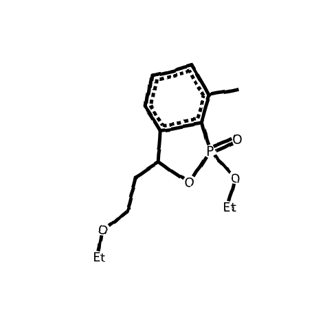 CCOCCC1OP(=O)(OCC)c2c(C)cccc21